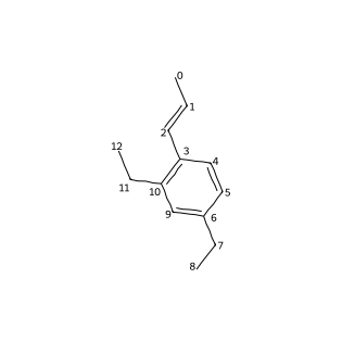 CC=Cc1ccc(CC)cc1CC